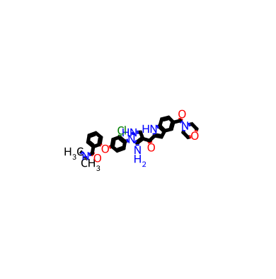 CN(C)C(=O)c1ccccc1Oc1ccc(N2NCC(C(=O)c3cc4cc(C(=O)N5CCOCC5)ccc4[nH]3)=C2N)c(Cl)c1